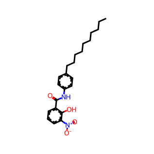 CCCCCCCCCCc1ccc(NC(=O)c2cccc([N+](=O)[O-])c2O)cc1